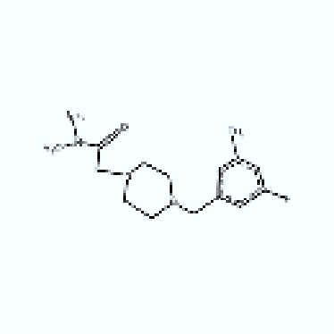 Cc1cc(F)cc(CN2CCN(CC(=O)N(C)C)CC2)c1